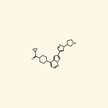 O=C(C1CC1)N1CCN(c2ccnn3cc(-c4cnn(C5CCNC5)c4)cc23)CC1